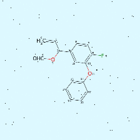 C=CC(OC=O)c1ccc(F)c(Oc2ccccc2)c1